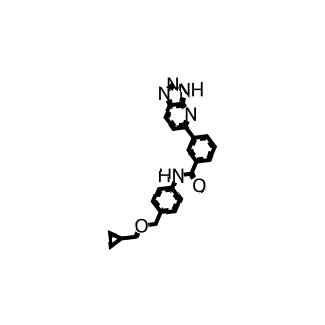 O=C(Nc1ccc(COCC2CC2)cc1)c1cccc(-c2ccc3nn[nH]c3n2)c1